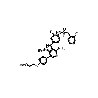 COCCNc1ccc(-c2cnc(N)c3c(-c4ccc(NS(=O)(=O)Cc5ccccc5Cl)c(F)c4)nn(C(C)C)c23)cc1